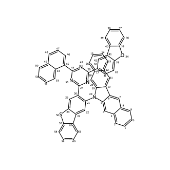 c1ccc2cc3c(cc2c1)c1cc2ccccc2cc1n3-c1cc2c(cc1-c1nc(-c3ccc4oc5ccccc5c4c3)nc(-c3cccc4ccccc34)n1)sc1ccccc12